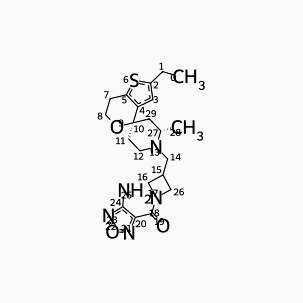 CCc1cc2c(s1)CCO[C@@]21CCN(CC2CN(C(=O)c3nonc3N)C2)[C@@H](C)C1